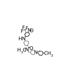 Cc1ccc(N2CCC(CN(C)C(=O)C3CCC(Nc4ccc(N=O)c(C(F)(F)F)c4)CC3)CC2)cc1